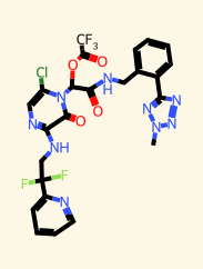 Cn1nnc(-c2ccccc2CNC(=O)C(OC(=O)C(F)(F)F)n2c(Cl)cnc(NCC(F)(F)c3ccccn3)c2=O)n1